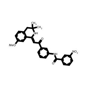 COc1ccc2c(c1)C(=CC(=O)c1cccc(NC(=O)c3cccc([N+](=O)[O-])c3)c1)NC(C)(C)C2